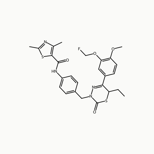 CCC1SC(=O)N(Cc2ccc(NC(=O)c3sc(C)nc3C)cc2)N=C1c1ccc(OC)c(OCF)c1